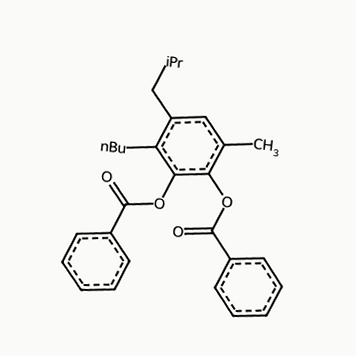 CCCCc1c(CC(C)C)cc(C)c(OC(=O)c2ccccc2)c1OC(=O)c1ccccc1